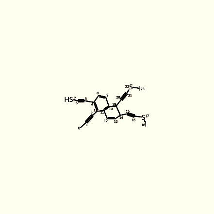 CC#Cc1c(C#CS)ccc2c1C=CC(C#CSI)C2C#CSI